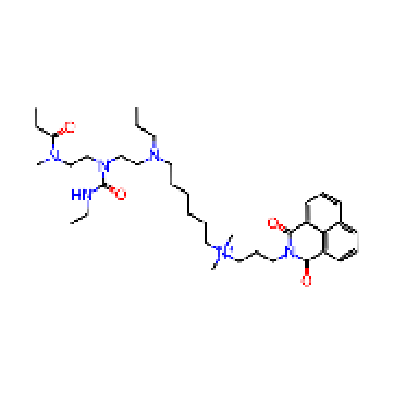 CCCN(CCCCCC[N+](C)(C)CCCN1C(=O)c2cccc3cccc(c23)C1=O)CCN(CCN(C)C(=O)CC)C(=O)NCC